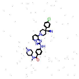 CN1CCC(N(C)C(=O)c2ccc(Nc3nc4c(N5CCC(C#N)(c6ccc(Cl)cc6)CC5)cccn4n3)cc2)CC1